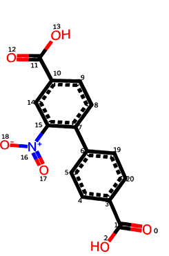 O=C(O)c1ccc(-c2ccc(C(=O)O)cc2[N+](=O)[O-])cc1